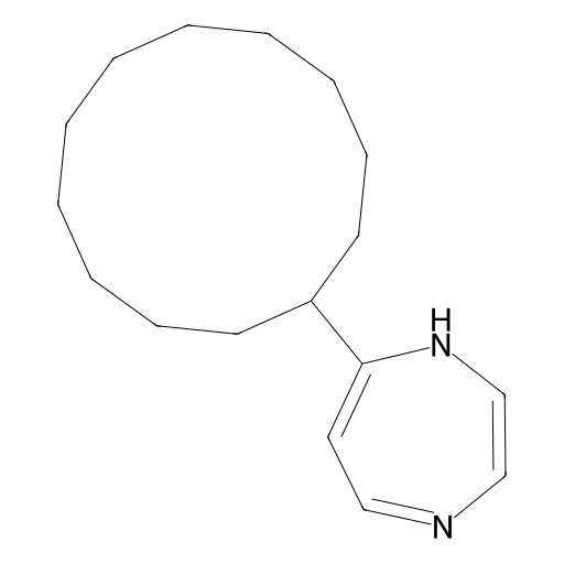 C1=CNC(C2CCCCCCCCCCC2)=CC=N1